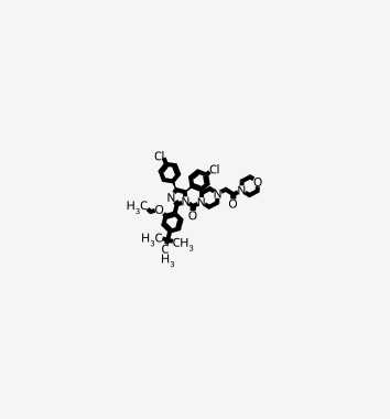 CCOc1cc(C(C)(C)C)ccc1C1=N[C@@H](C2C=CC(Cl)=CC2)[C@@H](c2ccc(Cl)cc2)N1C(=O)N1CCN(CC(=O)N2CCOCC2)CC1